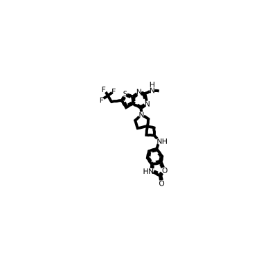 CNc1nc(N2CCC3(CC(Nc4ccc5[nH]c(=O)oc5c4)C3)C2)c2cc(CC(F)(F)F)sc2n1